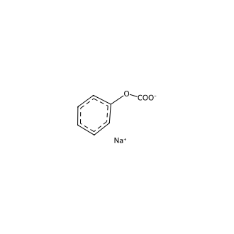 O=C([O-])Oc1ccccc1.[Na+]